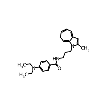 CCN(CC)c1ccc(C(=O)NCCCn2c(C)cc3c2=CCC=CC=3)cc1